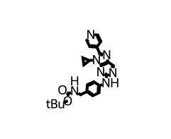 CC(C)(C)OC(=O)NCc1ccc(Nc2ncc3nc(-c4ccncc4)n(C4CC4)c3n2)cc1